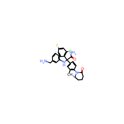 Cc1cc(C(Nc2cccc(CN)c2)(C(N)=O)c2ccc(F)cc2F)ccc1N1CCCCC1=O